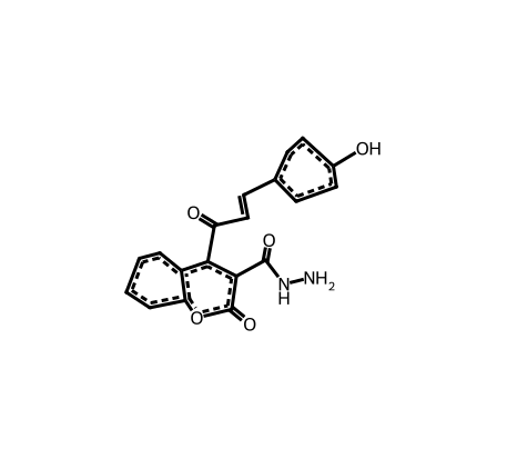 NNC(=O)c1c(C(=O)C=Cc2ccc(O)cc2)c2ccccc2oc1=O